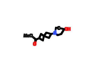 COC(=O)C1CC2(C1)CC(N1CCC(O)CC1)C2